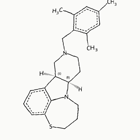 Cc1cc(C)c(CN2CC[C@@H]3[C@H](C2)c2cccc4c2N3CCCS4)c(C)c1